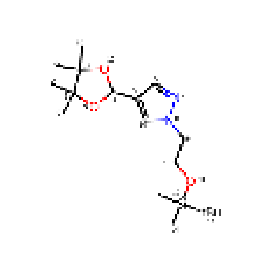 CC1(C)OC(c2cnn(CCO[Si](C)(C)C(C)(C)C)c2)OC1(C)C